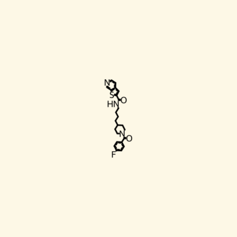 O=C(NCCCCC1CCN(C(=O)c2ccc(F)cc2)CC1)c1cc2ccncc2s1